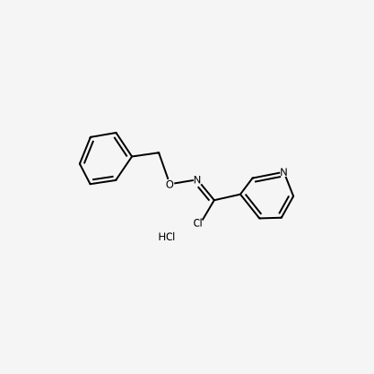 Cl.ClC(=NOCc1ccccc1)c1cccnc1